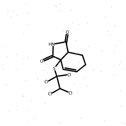 O=C1NC(=O)C2(SC(Cl)(Cl)C(Cl)Cl)C=CCCC12